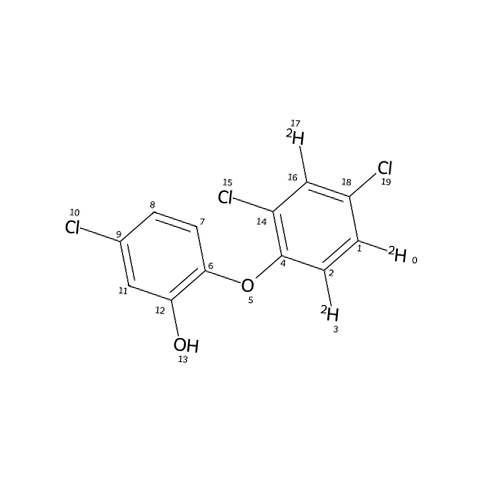 [2H]c1c([2H])c(Oc2ccc(Cl)cc2O)c(Cl)c([2H])c1Cl